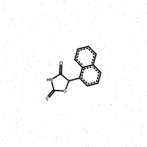 O=C1NC(=S)OC1c1cccc2ccccc12